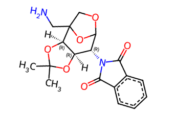 CC1(C)O[C@H]2[C@@H](O1)C1(CN)COC(O1)[C@@H]2N1C(=O)c2ccccc2C1=O